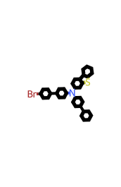 Brc1ccc(-c2ccc(N(c3ccc(-c4ccccc4)cc3)c3ccc4c(c3)sc3ccccc34)cc2)cc1